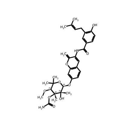 C=C1Oc2cc(O[C@@H]3OC(C)(C)[C@H](OC)[C@@](C)(OC(N)=O)[C@@]3(C)O)ccc2C=C1NC(=O)c1ccc(O)c(CC=C(C)C)c1